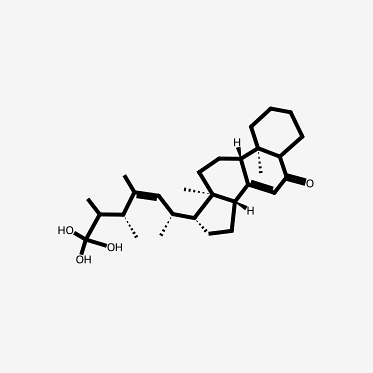 CC(=C[C@@H](C)[C@H]1CC[C@H]2C3=CC(=O)C4CCCC[C@]4(C)[C@H]3CC[C@]12C)[C@H](C)C(C)C(O)(O)O